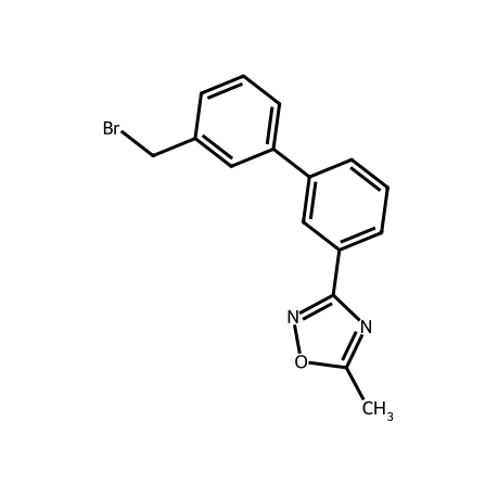 Cc1nc(-c2cccc(-c3cccc(CBr)c3)c2)no1